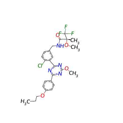 CCCOc1ccc(-c2nc(OC)nc(-c3cc(CNC(=O)[C@@](C)(OC)C(F)(F)F)ccc3Cl)n2)cc1